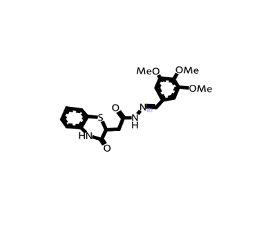 COc1cc(/C=N/NC(=O)CC2Sc3ccccc3NC2=O)cc(OC)c1OC